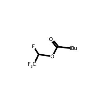 CCC(C)C(=O)OC(F)C(F)(F)F